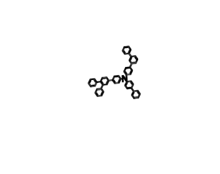 c1ccc(-c2ccc(N(c3ccc(-c4cccc(-c5ccccc5)c4)cc3)c3ccc(-c4ccc(-c5ccccc5)c(-c5ccccc5)c4)cc3)cc2)cc1